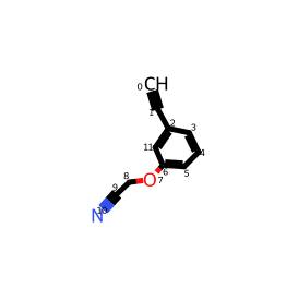 C#Cc1cccc(OCC#N)c1